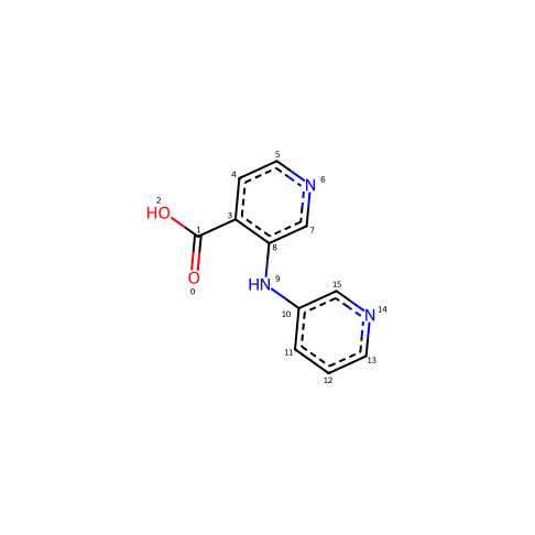 O=C(O)c1ccncc1Nc1cccnc1